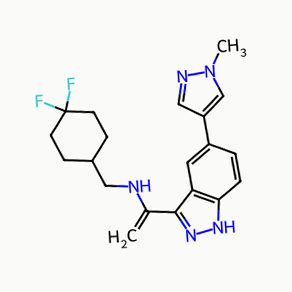 C=C(NCC1CCC(F)(F)CC1)c1n[nH]c2ccc(-c3cnn(C)c3)cc12